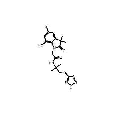 CC(C)(CCc1nn[nH]n1)NC(=O)CN1C(=O)C(C)(C)c2cc(Br)cc(O)c21